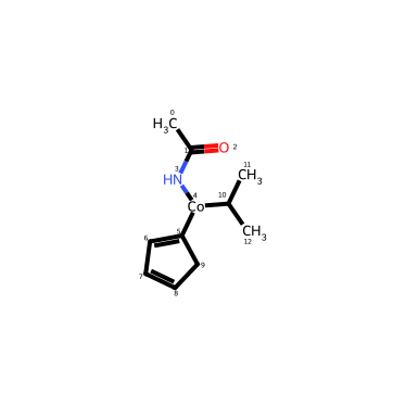 CC(=O)[NH][Co]([C]1=CC=CC1)[CH](C)C